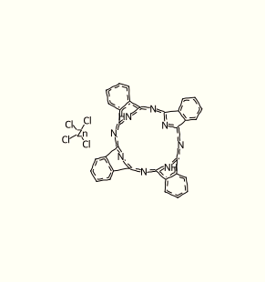 [Cl][Zn]([Cl])([Cl])[Cl].c1ccc2c(c1)-c1nc-2nc2[nH]c(nc3nc(nc4[nH]c(n1)c1ccccc41)-c1ccccc1-3)c1ccccc21